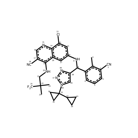 Cc1c(C#N)cccc1C(Nc1cc(Cl)c2ncc(C#N)c(NCC(C)(C)C(F)(F)F)c2c1)c1cn(C2(C3CC3)CC2)nn1